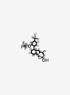 C/C(=C/C(=O)O)c1cc2c(-c3ccc(C(C)(C)C)cc3OCC(F)(F)F)cccc2s1